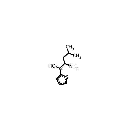 CC(C)CC(N)[C@H](O)c1cccs1